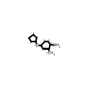 CC1=CC(OC2CCCC2)CCC1N